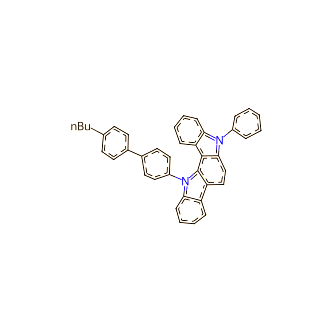 CCCCc1ccc(-c2ccc(-n3c4ccccc4c4ccc5c(c6ccccc6n5-c5ccccc5)c43)cc2)cc1